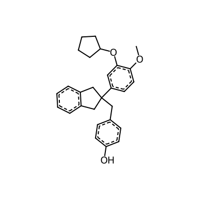 COc1ccc(C2(Cc3ccc(O)cc3)Cc3ccccc3C2)cc1OC1CCCC1